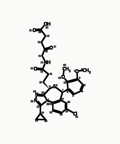 COc1cccc([C@@H]2S[C@@H](CCC(=O)NCC(=O)CCC(=O)O)c3nnc(C4CC4)n3-c3ccc(Cl)cc32)c1OC